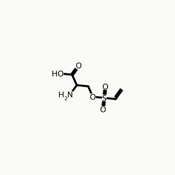 C=CS(=O)(=O)OCC(N)C(=O)O